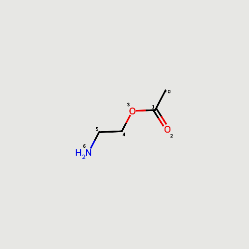 [CH2]C(=O)OCCN